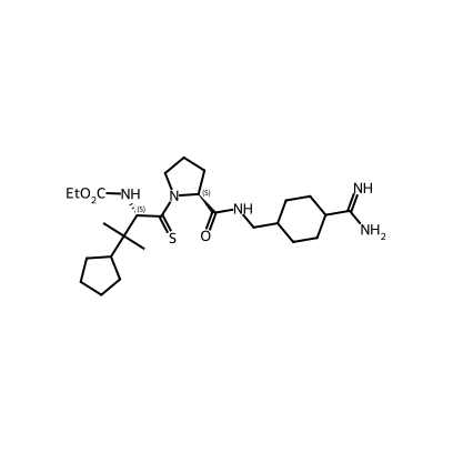 CCOC(=O)N[C@H](C(=S)N1CCC[C@H]1C(=O)NCC1CCC(C(=N)N)CC1)C(C)(C)C1CCCC1